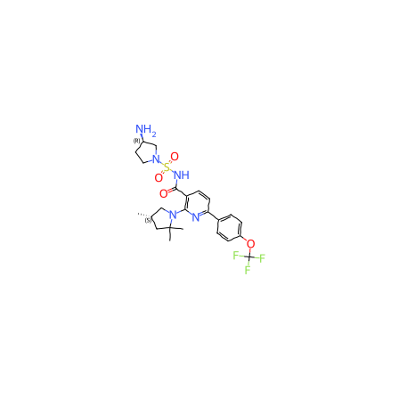 C[C@@H]1CN(c2nc(-c3ccc(OC(F)(F)F)cc3)ccc2C(=O)NS(=O)(=O)N2CC[C@@H](N)C2)C(C)(C)C1